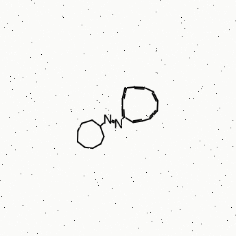 C1=C/C=C\C=C/C(/N=N/C2CCCCCCCC2)=C\C=C/C=C\1